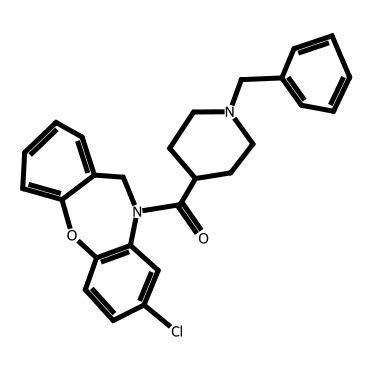 O=C(C1CCN(Cc2ccccc2)CC1)N1Cc2ccccc2Oc2ccc(Cl)cc21